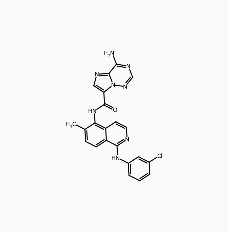 Cc1ccc2c(Nc3cccc(Cl)c3)nccc2c1NC(=O)c1cnc2c(N)ncnn12